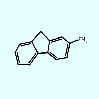 [SiH3]c1ccc2c(c1)Cc1ccccc1-2